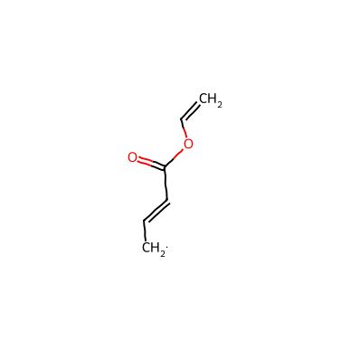 [CH2]C=CC(=O)OC=C